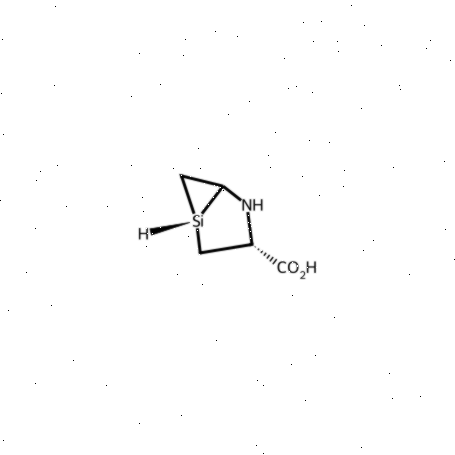 O=C(O)[C@@H]1C[Si@@H]2CC2N1